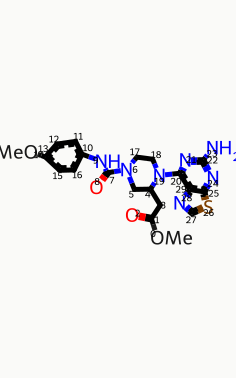 COC(=O)CC1CN(C(=O)Nc2ccc(OC)cc2)CCN1c1nc(N)nc2scnc12